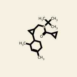 CC1=CC(C)C(C2CC2CN(C(=O)C2CC2)C(C)(C)C)CC1